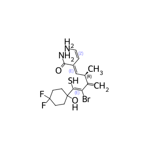 C=C(/C(Br)=C(\S)C1(O)CCC(F)(F)CC1)[C@H](C)/C=C(\C=C/N)C(N)=O